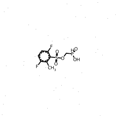 Cc1c(F)ccc(F)c1S(=O)(=O)OC[PH](=O)O